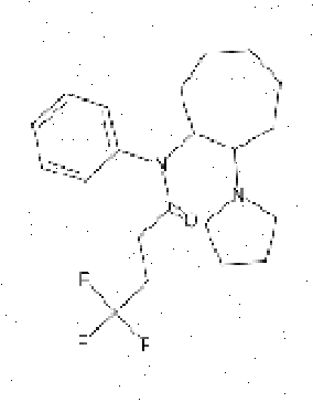 O=C(CCC(F)(F)F)N(c1ccccc1)C1CCCCCC1N1CCCC1